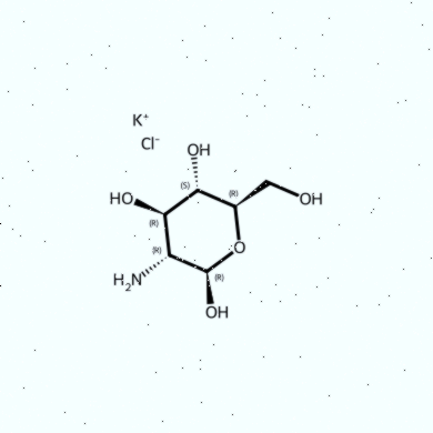 N[C@@H]1[C@@H](O)[C@H](O)[C@@H](CO)O[C@H]1O.[Cl-].[K+]